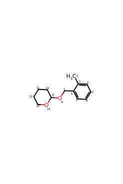 Cc1ccccc1COC1CCCCO1